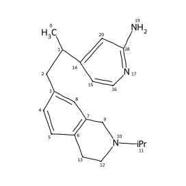 CC(Cc1ccc2c(c1)CN(C(C)C)CC2)c1ccnc(N)c1